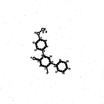 Cc1cc(=O)n(-c2ccc(OC(F)(F)F)cc2)cc1-c1ccccc1